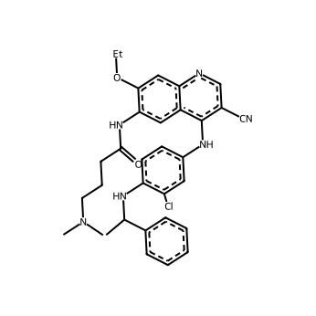 CCOc1cc2ncc(C#N)c(Nc3ccc(NC(C)c4ccccc4)c(Cl)c3)c2cc1NC(=O)CCCN(C)C